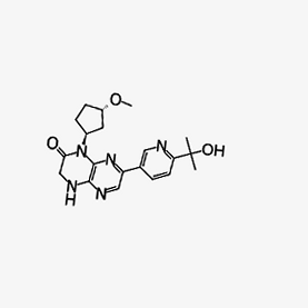 CO[C@H]1CC[C@H](N2C(=O)CNc3ncc(-c4ccc(C(C)(C)O)nc4)nc32)C1